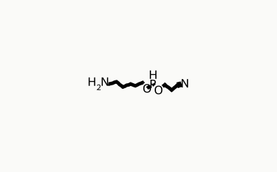 N#CCCOPOCCCCCCN